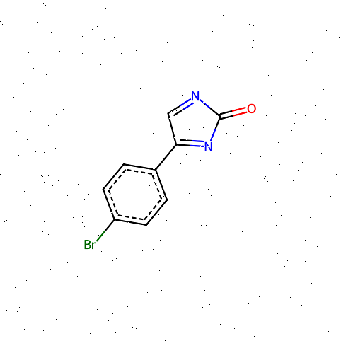 O=C1N=CC(c2ccc(Br)cc2)=N1